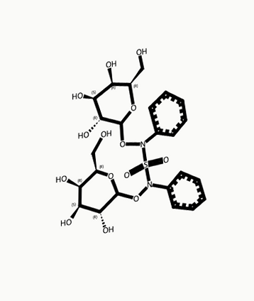 O=S(=O)(N(OC1O[C@H](CO)[C@H](O)[C@H](O)[C@H]1O)c1ccccc1)N(OC1O[C@H](CO)[C@H](O)[C@H](O)[C@H]1O)c1ccccc1